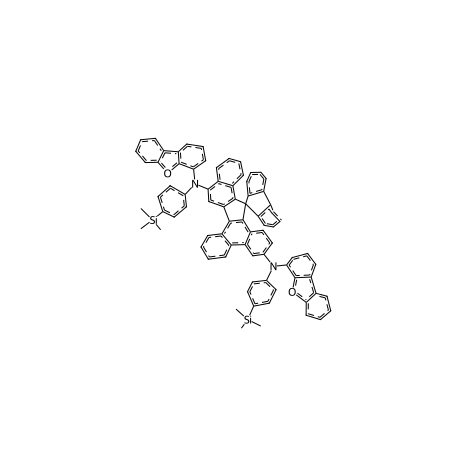 C[Si](C)(C)c1ccc(N(c2ccc3c4c(c5ccccc5c3c2)-c2cc(N(c3ccc([Si](C)(C)C)cc3)c3cccc5c3oc3ccccc35)c3ccccc3c2C42c3ccccc3-c3ccccc32)c2cccc3c2oc2ccccc23)cc1